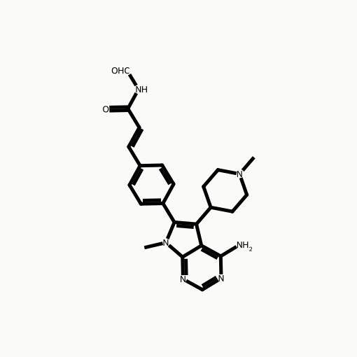 CN1CCC(c2c(-c3ccc(C=CC(=O)NC=O)cc3)n(C)c3ncnc(N)c23)CC1